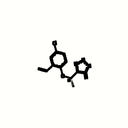 C=Cc1cc(Cl)ccc1O[C@@H](C)c1nnn[nH]1